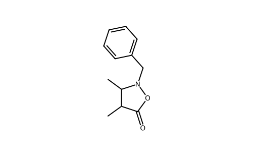 CC1C(=O)ON(Cc2ccccc2)C1C